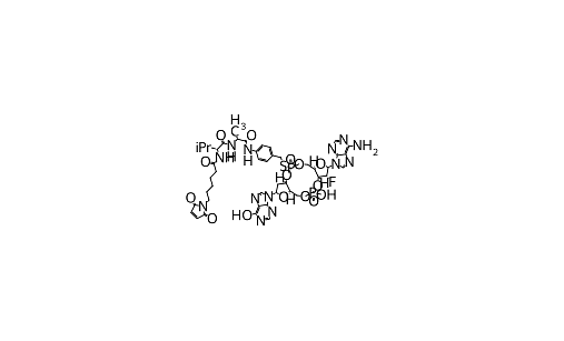 CC(C)[C@H](NC(=O)CCCCCN1C(=O)C=CC1=O)C(=O)N[C@@H](C)C(=O)Nc1ccc(CSP2(=O)OC[C@H]3O[C@@H](n4cnc5c(N)ncnc54)[C@H](F)[C@@H]3OP(=O)(O)OC[C@H]3O[C@@H](n4cnc5c(O)ncnc54)C[C@@H]3O2)cc1